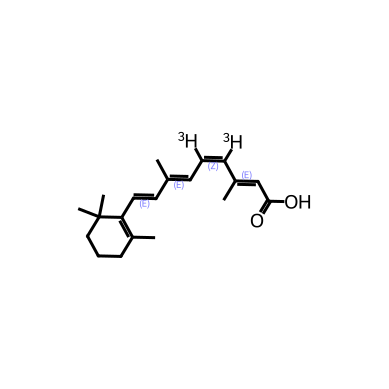 [3H]C(/C=C(C)/C=C/C1=C(C)CCCC1(C)C)=C([3H])/C(C)=C/C(=O)O